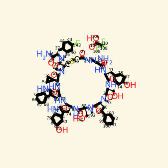 CN1C(=O)[C@H](CO)NC(=O)[C@H](Cc2ccc(O)cc2)NC(=O)[C@@H](N)CNC(=O)CSC[C@@H](C(=O)N(C)[C@@H](Cc2ccc(F)cc2)C(N)=O)N(C)C(=O)[C@H](C2CC2)NC(=O)[C@H](Cc2c[nH]c3ccccc23)NC(=O)[C@H](Cc2c[nH]c3ccc(O)cc23)NC(=O)[C@H](CO)N(C)C(=O)[C@@H]1CCc1ccccc1.O=C(O)C(F)(F)F